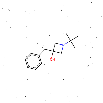 CC(C)(C)N1CC(O)(Cc2ccccc2)C1